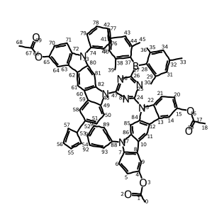 CC(=O)Oc1ccc2c(c1)c1cc3c4cc(OC(C)=O)ccc4n(-c4nc(B(c5c(C)cc(C)cc5C)c5c(C)cc(C)cc5C)nc(-n5c6ccc(C7C=CC=C7)cc6c6cc7c8cc(OC(C)=O)ccc8n(-c8ccccc8)c7cc65)n4)c3cc1n2-c1ccccc1